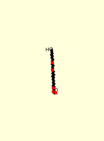 CC=C(C)C(=O)OCCCCCCCCCCCCCCCCCCCCCCCCCO